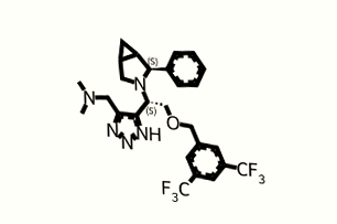 CN(C)Cc1nn[nH]c1[C@@H](COCc1cc(C(F)(F)F)cc(C(F)(F)F)c1)N1CC2CC2[C@H]1c1ccccc1